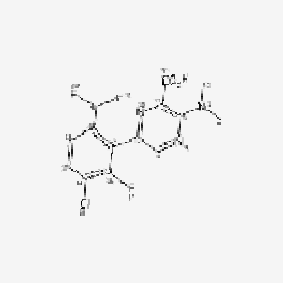 CN(C)c1ncc(-c2c(C(F)F)ccc(Cl)c2F)nc1C(=O)O